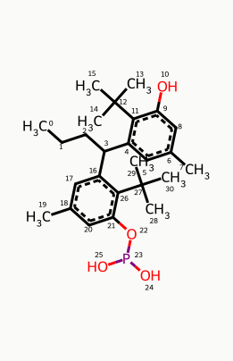 CCCC(c1cc(C)cc(O)c1C(C)(C)C)c1cc(C)cc(OP(O)O)c1C(C)(C)C